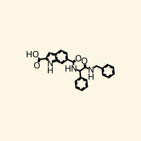 O=C(NC(C(=O)NCc1ccccc1)c1ccccc1)c1ccc2cc(C(=O)O)[nH]c2c1